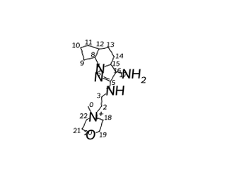 C[N+]1(CCNC2=NN3C4CCCC4CCC3C2N)CCOCC1